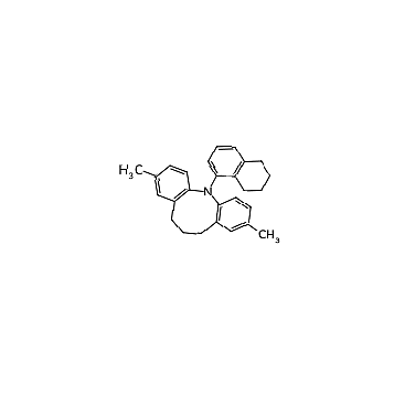 Cc1ccc2c(c1)CCCc1cc(C)ccc1N2c1cccc2c1CCCC2